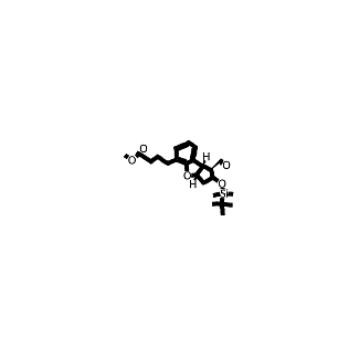 COC(=O)CCCc1cccc2c1O[C@H]1CC(O[Si](C)(C)C(C)(C)C)[C@H](C=O)[C@@H]21